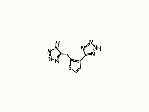 c1cc(-c2nn[nH]n2)c(Cc2nnn[nH]2)s1